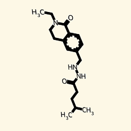 CCN1CCc2cc(CNNC(=O)CCC(C)C)ccc2C1=O